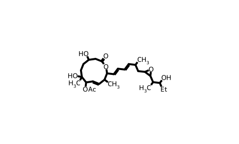 CCC(O)C(C)C1OC1CC(C)/C=C/C=C/C1OC(=O)CC(O)CCC(C)(O)C(OC(C)=O)/C=C/C1C